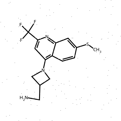 CSc1ccc2c(N3CC(CN)C3)cc(C(F)(F)F)nc2c1